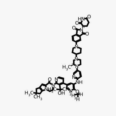 [2H]C([2H])([2H])Oc1ncc(-c2ccnc(N3CCn4c(cc5c4CC(C)(C)C5)C3=O)c2C(C)(C)O)cc1Nc1ccc(N2CCN(C3CCN(c4ccc5c(c4)C(=O)N([C@H]4CCC(=O)NC4=O)C5=O)CC3)C[C@@H]2C)cn1